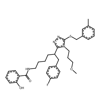 COCCCn1c(SCc2cccc(C)c2)nnc1C(CCCCNC(=O)c1ccccc1O)Cc1ccc(F)cc1